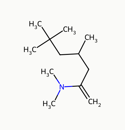 C=C(CC(C)CC(C)(C)C)N(C)C